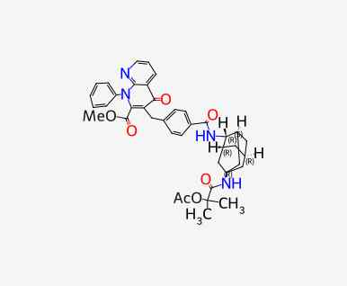 COC(=O)c1c(Cc2ccc(C(=O)N[C@H]3[C@@H]4C[C@H]5C[C@H]3C[C@](NC(=O)C(C)(C)OC(C)=O)(C5)C4)cc2)c(=O)c2cccnc2n1-c1ccccc1